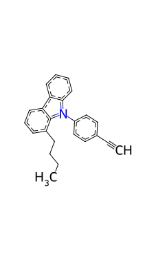 C#Cc1ccc(-n2c3ccccc3c3cccc(CCCC)c32)cc1